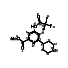 COC(=O)c1nccc(C2CCNCC2)n1.O=C(O)C(F)(F)F